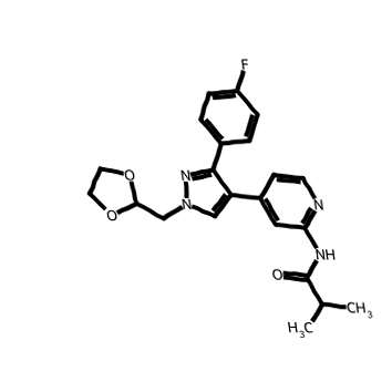 CC(C)C(=O)Nc1cc(-c2cn(CC3OCCO3)nc2-c2ccc(F)cc2)ccn1